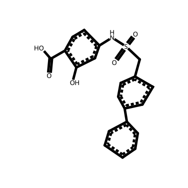 O=C(O)c1ccc(NS(=O)(=O)Cc2ccc(-c3ccccc3)cc2)cc1O